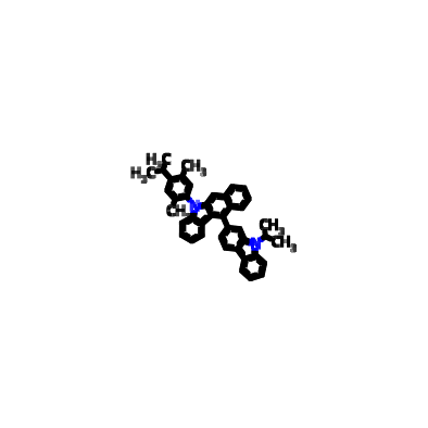 Cc1cc(-n2c3ccccc3c3c(-c4ccc5c6ccccc6n(C(C)C)c5c4)c4ccccc4cc32)c(C)cc1C(C)C